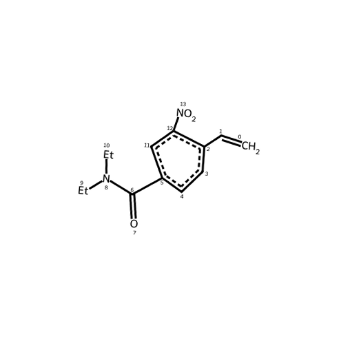 C=Cc1ccc(C(=O)N(CC)CC)cc1[N+](=O)[O-]